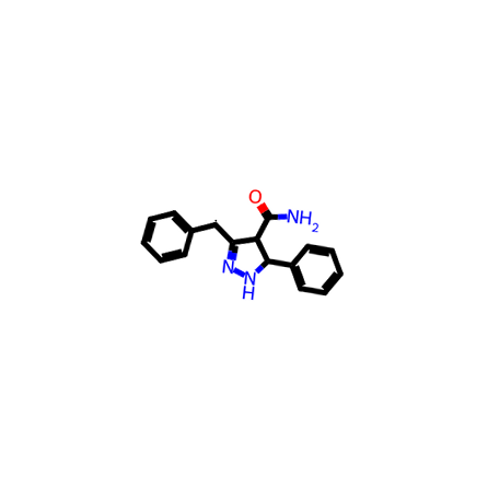 NC(=O)C1C([CH]c2ccccc2)=NNC1c1ccccc1